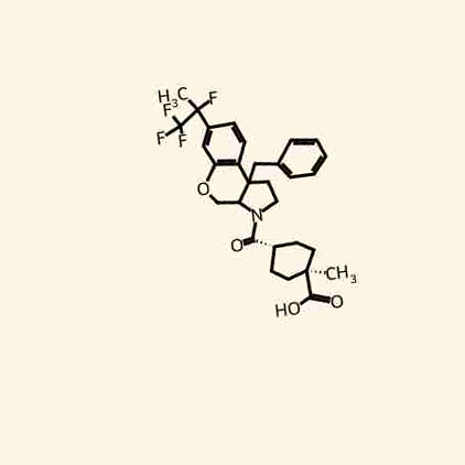 CC(F)(c1ccc2c(c1)OCC1N(C(=O)[C@H]3CC[C@](C)(C(=O)O)CC3)CCC21Cc1ccccc1)C(F)(F)F